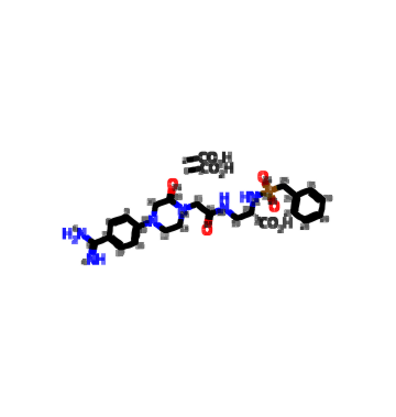 CC(=O)O.CC(=O)O.N=C(N)c1ccc(N2CCN(CC(=O)NC[C@H](NS(=O)(=O)Cc3ccccc3)C(=O)O)C(=O)C2)cc1